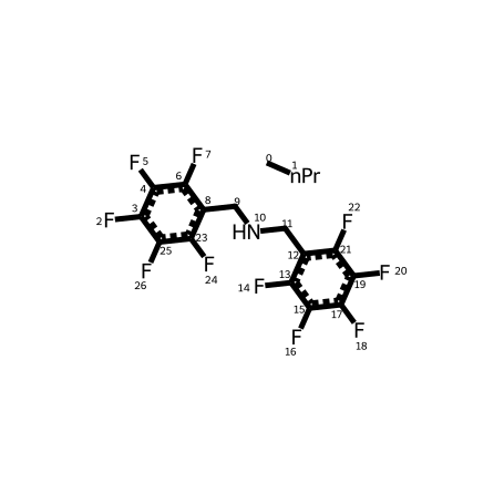 CCCC.Fc1c(F)c(F)c(CNCc2c(F)c(F)c(F)c(F)c2F)c(F)c1F